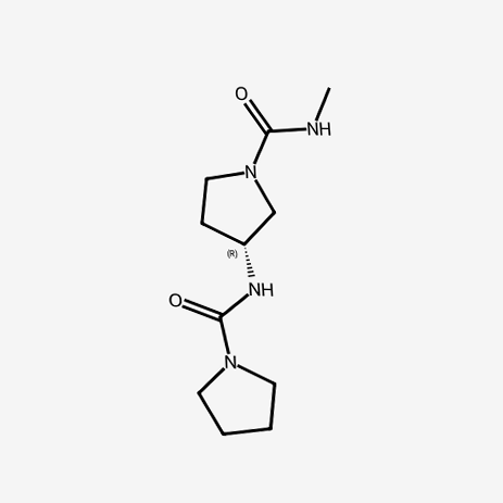 CNC(=O)N1CC[C@@H](NC(=O)N2CCCC2)C1